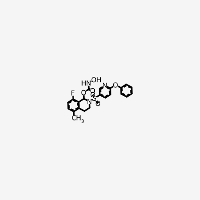 Cc1ccc(F)c2c1CCN(S(=O)(=O)c1ccc(Oc3ccccc3)nc1)C2OC(=O)NO